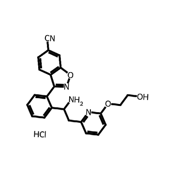 Cl.N#Cc1ccc2c(-c3ccccc3C(N)Cc3cccc(OCCO)n3)noc2c1